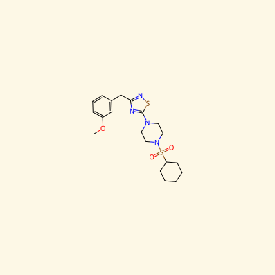 COc1cccc(Cc2nsc(N3CCN(S(=O)(=O)C4CCCCC4)CC3)n2)c1